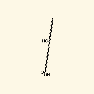 CCCCCCC=CCC=CCC(O)CCCCCCCCCCCCCCCC(=O)O